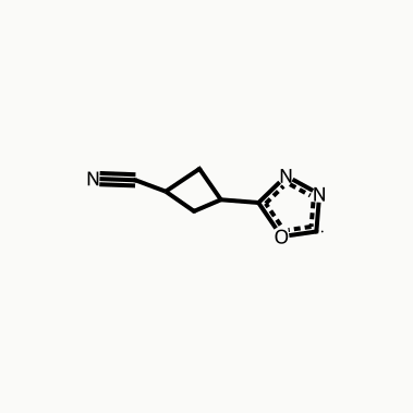 N#CC1CC(c2nn[c]o2)C1